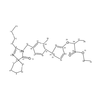 CCCCC1=NC2(CCCCC2)C(=O)N1Cc1ccc(-c2cccc(OC(CC)C(=O)OCC)c2)c(C)c1